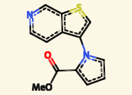 COC(=O)c1cccn1-c1csc2cnccc12